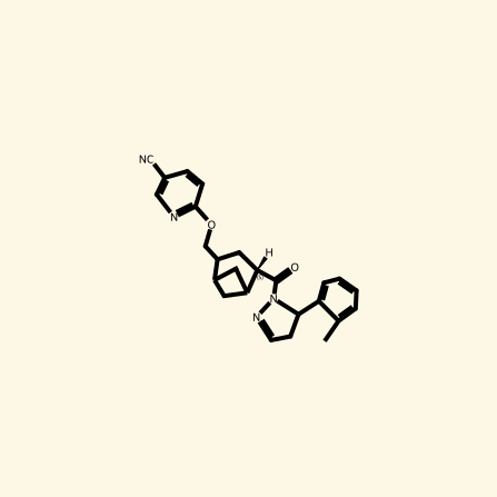 Cc1ccccc1C1CC=NN1C(=O)[C@H]1CC(COc2ccc(C#N)cn2)C2CC1C2